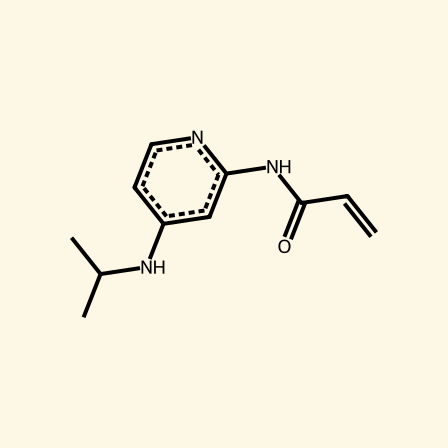 C=CC(=O)Nc1cc(NC(C)C)ccn1